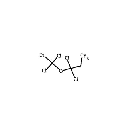 CCC(Cl)(Cl)OC(Cl)(Cl)CC(F)(F)F